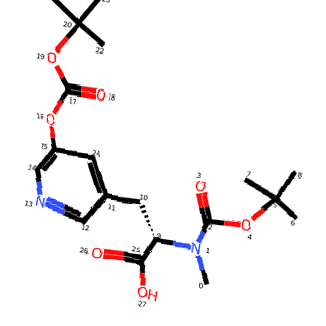 CN(C(=O)OC(C)(C)C)[C@@H](Cc1cncc(OC(=O)OC(C)(C)C)c1)C(=O)O